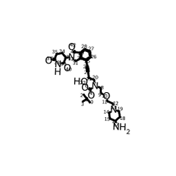 CC(C)(C)OC(=O)N(CCOCCN1CCC(N)CC1)CC(O)C#Cc1cccc2c1CN(C1CCC(=O)NC1=O)C2=O